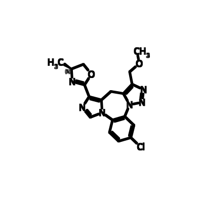 COCc1nnn2c1Cc1c(C3=N[C@@H](C)CO3)ncn1-c1ccc(Cl)cc1-2